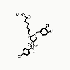 COC(=O)CCCC=C[C@@H]1C[C@@H](NS(=O)(=O)c2ccc(Cl)cc2)CN1Cc1ccc(Cl)c(Cl)c1